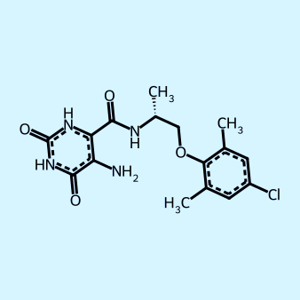 Cc1cc(Cl)cc(C)c1OC[C@@H](C)NC(=O)c1[nH]c(=O)[nH]c(=O)c1N